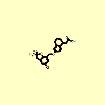 CC1(C)Cc2cc(Cl)cc(COc3ccc4c(c3)CCCC4CC(=O)O)c2O1